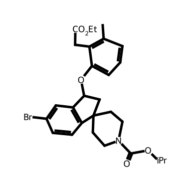 CCOC(=O)Cc1c(C)cccc1OC1CC2(CCN(C(=O)OC(C)C)CC2)c2ccc(Br)cc21